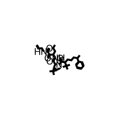 C=CCNC(=O)C(=O)C(CCC)NC(=O)C1C2C(CN1C(=O)C(CCCC(C)c1ccccc1)C(C)(C)C)C2(C)C